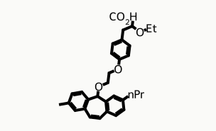 CCCc1ccc2c(c1)C(OCCOc1ccc(CC(OCC)C(=O)O)cc1)c1ccc(C)cc1C=C2